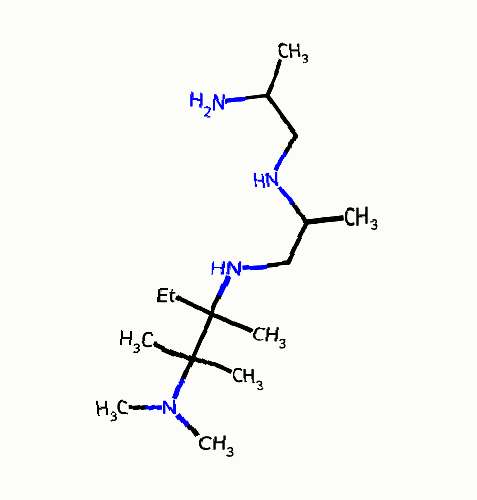 CCC(C)(NCC(C)NCC(C)N)C(C)(C)N(C)C